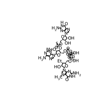 CC[C@H]1[C@@H](O)[C@H](n2c[n+](C)c3c(=O)[nH]c(N)nc32)O[C@@H]1COP(=O)(O)OP(=O)(O)OP(=O)(O)OC[C@H]1O[C@@H](n2cnc3c(N)ncnc32)[C@H](OC)[C@@H]1OP([O-])(=S)OC[C@H]1O[C@@H](n2cnc3c(=O)[nH]c(N)nc32)[C@H](O)[C@@H]1O